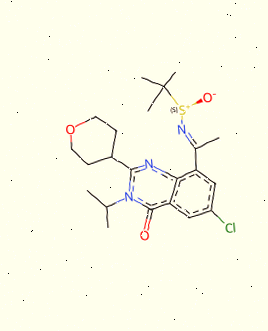 CC(=N[S@+]([O-])C(C)(C)C)c1cc(Cl)cc2c(=O)n(C(C)C)c(C3CCOCC3)nc12